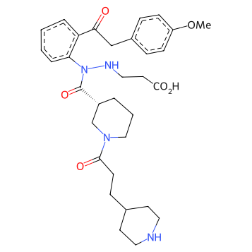 COc1ccc(CC(=O)c2ccccc2N(NCCC(=O)O)C(=O)[C@@H]2CCCN(C(=O)CCC3CCNCC3)C2)cc1